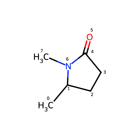 CC1CCC(=O)N1C